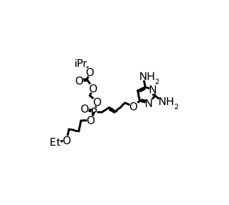 CCOCCCOP(=O)(C/C=C/COc1cc(N)nc(N)n1)OCOC(=O)OC(C)C